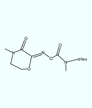 CCCCCCN(C)C(=O)ON=C1OCCN(C)C1=O